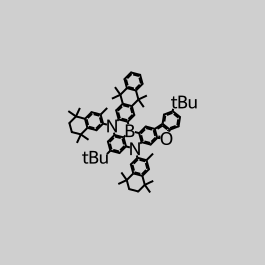 Cc1cc2c(cc1N1c3cc4c(cc3B3c5cc6c(cc5N(c5cc7c(cc5C)C(C)(C)CCC7(C)C)c5cc(C(C)(C)C)cc1c53)oc1ccc(C(C)(C)C)cc16)C(C)(C)c1ccccc1C4(C)C)C(C)(C)CCC2(C)C